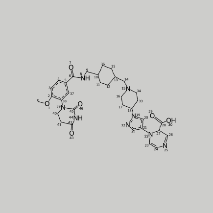 COc1ccc(C(=O)NCC2CCC(CN3CCC(n4cc(N5C=CN=CC5C(=O)O)cn4)CC3)CC2)cc1N1CCC(=O)NC1=O